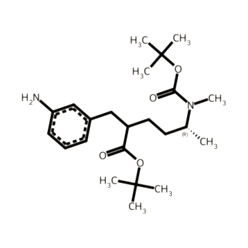 C[C@H](CCC(Cc1cccc(N)c1)C(=O)OC(C)(C)C)N(C)C(=O)OC(C)(C)C